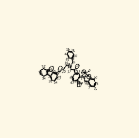 CS(=O)(=O)N(Cc1ccccc1)c1cc(C(=O)CN(CCOc2cccc3c4c(oc23)CCCC4)Cc2ccccc2)ccc1Br